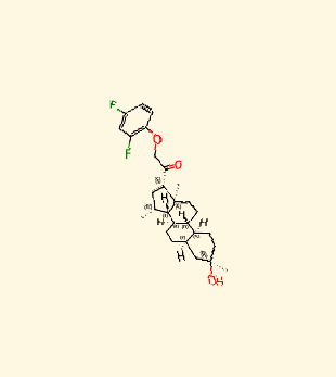 C[C@@H]1C[C@H](C(=O)COc2ccc(F)cc2F)[C@@]2(C)CC[C@H]3[C@@H](CC[C@@H]4C[C@](C)(O)CC[C@@H]43)[C@H]12